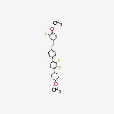 CCOc1ccc(CCc2ccc(-c3ccc(C4CCC(OCC)CC4)c(F)c3F)cc2)cc1F